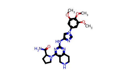 COc1cc(-n2cnc(Nc3nc4c(c(N5CCCC5C(N)=O)n3)CNCC4)c2)cc(OC)c1OC